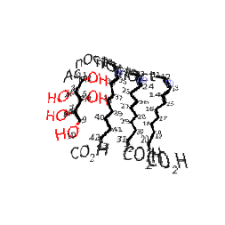 CC(=O)[C@H](O)[C@@H](O)[C@H](O)[C@H](O)CO.CCCCCCCC/C=C\CCCCCCCC(=O)O.CCCCCCCC/C=C\CCCCCCCC(=O)O.CCCCCCCC/C=C\CCCCCCCC(=O)O